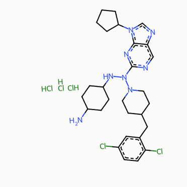 Cl.Cl.Cl.NC1CCC(NN(c2ncc3ncn(C4CCCC4)c3n2)N2CCC(Cc3cc(Cl)ccc3Cl)CC2)CC1